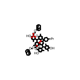 CCCC1CCC(c2cc(C)c(OCC(=O)OCOC3C4CC5CC(C4)CC3C5)c(C(c3cc(C)c(O)cc3C)c3cc(C)c(O)cc3C)c2)(c2cc(C)c(OCC(=O)OCOC3C4CC5CC(C4)CC3C5)c(C(c3cc(C)c(O)cc3C)c3cc(C)c(O)cc3C)c2)CC1